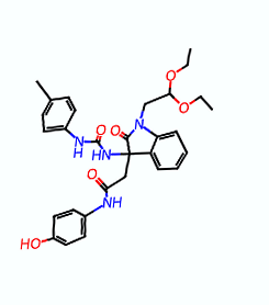 CCOC(CN1C(=O)C(CC(=O)Nc2ccc(O)cc2)(NC(=O)Nc2ccc(C)cc2)c2ccccc21)OCC